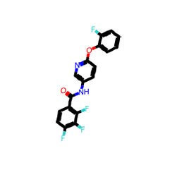 O=C(Nc1ccc(Oc2cc[c]cc2F)nc1)c1ccc(F)c(F)c1F